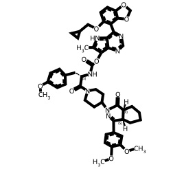 COc1ccc(C[C@H](NC(=O)Oc2c(C)[nH]c3c(-c4c(OCC5CC5)ccc5c4OCO5)ncnc23)C(=O)N2CCC(N3N=C(c4ccc(OC)c(OC)c4)[C@H]4CCCC[C@H]4C3=O)CC2)cc1